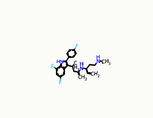 C=CC(CCNC)NC(=C)CC(C)c1c(-c2ccc(F)cc2)[nH]c2c(F)cc(F)cc12